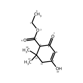 CCOC(=O)C1C(=O)C=C(O)CC1(C)C